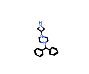 c1ccc(C(c2ccccc2)N2CCN(C3CNC3)CC2)cc1